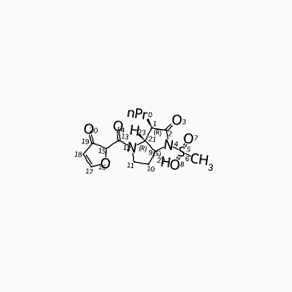 CCC[C@H]1C(=O)N(S(C)(=O)=O)[C@H]2CCN(C(=O)C3OC=CC3=O)[C@H]12